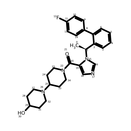 C[C@@H](c1ccccc1-c1ccc(F)cc1)n1cncc1C(=O)N1CCC(N2CCC(O)CC2)CC1